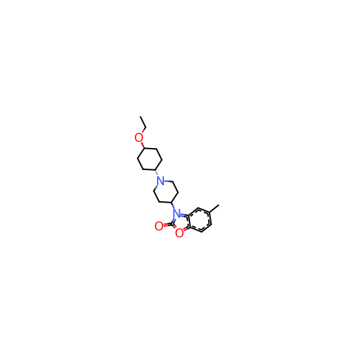 CCO[C@H]1CC[C@H](N2CCC(n3c(=O)oc4ccc(C)cc43)CC2)CC1